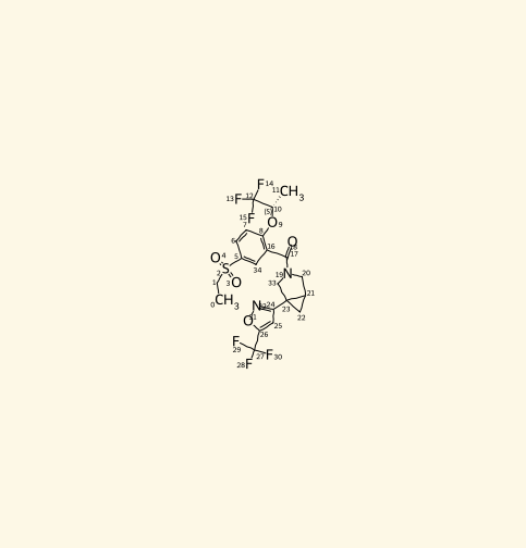 CCS(=O)(=O)c1ccc(O[C@@H](C)C(F)(F)F)c(C(=O)N2CC3CC3(c3cc(C(F)(F)F)on3)C2)c1